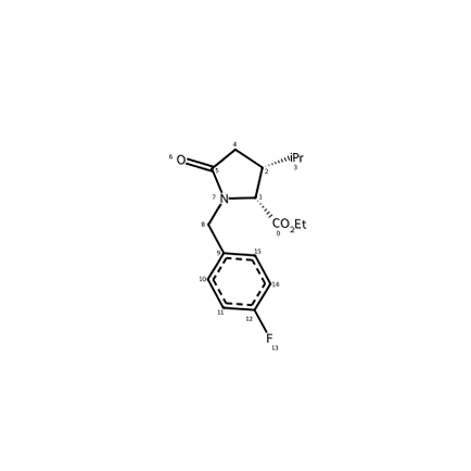 CCOC(=O)[C@H]1[C@@H](C(C)C)CC(=O)N1Cc1ccc(F)cc1